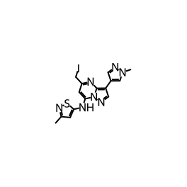 Cc1cc(Nc2cc(CI)nc3c(-c4cnn(C)c4)cnn23)sn1